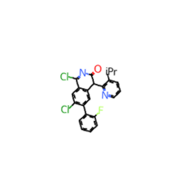 CC(C)c1cccnc1C1C(=O)N=C(Cl)c2cc(Cl)c(-c3ccccc3F)cc21